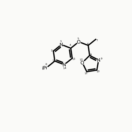 CC(C)c1cnc(OC(C)c2ncco2)cn1